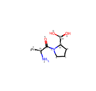 CC(C)[C@H](N)C(=O)N1CCC[C@@H]1B(O)O